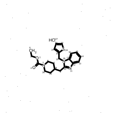 CCOC(=O)N1CCC(Cc2nc3ccccc3n2Cc2cccs2)CC1.Cl